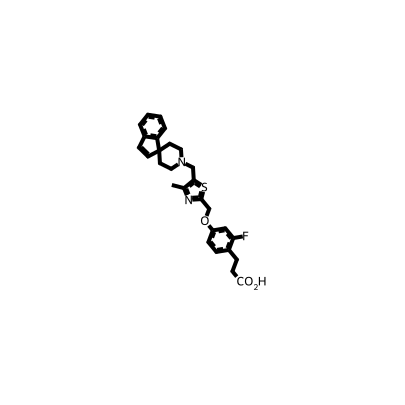 Cc1nc(COc2ccc(CCC(=O)O)c(F)c2)sc1CN1CCC2(C=Cc3ccccc32)CC1